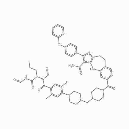 CCCC(C(=O)NC=O)N(C=O)C(=O)c1cc(F)c(N2CCN(CC3CCN(C(=O)c4ccc5c(c4)Nc4c(C(N)=O)c(-c6ccc(Oc7ccccc7)cc6)nn4CC5)CC3)CC2)cc1C